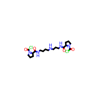 O=C(NCCCCNCCCNC(=O)C1CCCN1C(=O)Cl)C1CCCN1C(=O)Cl